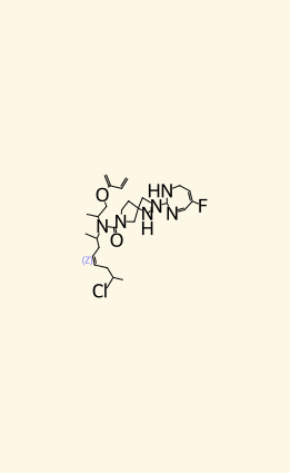 C=CC(=C)OCC(C)N(C(=O)N1CCC2(C1)CN(C1N=CC(F)=CCN1)N2)C(C)C/C=C\CC(C)Cl